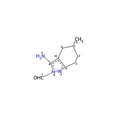 CC1CCc2nn(C=O)c(N)c2C1